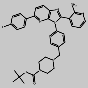 CC(C)(C)OC(=O)N1CCN(Cc2ccc(-n3c(-c4cccnc4N)nc4ccc(-c5ccc(F)cc5)nc43)cc2)CC1